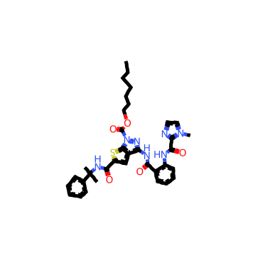 CCCCCCCOC(=O)n1nc(NC(=O)c2ccccc2NC(=O)c2nccn2C)c2cc(C(=O)NC(C)(C)c3ccccc3)sc21